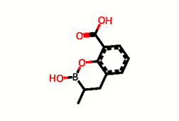 CC1Cc2cccc(C(=O)O)c2OB1O